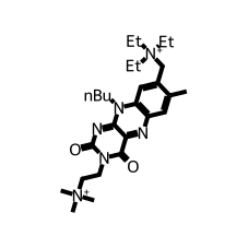 CCCCn1c2nc(=O)n(CC[N+](C)(C)C)c(=O)c-2nc2cc(C)c(C[N+](CC)(CC)CC)cc21